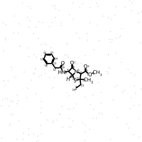 COC(=O)C1N2C(=O)C(NC(=O)Cc3ccccc3)[C@H]2SC1(C)CI